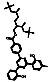 Cc1ccc(-c2nc(-c3ccc(C(=O)OCC(CCC(C)CC(C)(C)C)C(C)CC(C)(C)C)cc3)nc(-c3ccccc3O)n2)c(O)c1